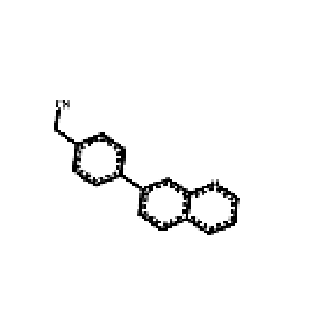 N#CCc1ccc(-c2ccc3cccnc3c2)cc1